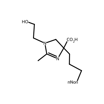 CCCCCCCCCCCCC1(C(=O)O)CN(CCO)C(C)=N1